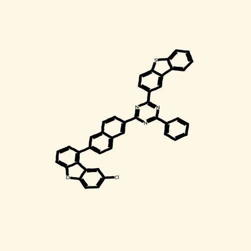 Clc1ccc2oc3cccc(-c4ccc5cc(-c6nc(-c7ccccc7)nc(-c7ccc8sc9ccccc9c8c7)n6)ccc5c4)c3c2c1